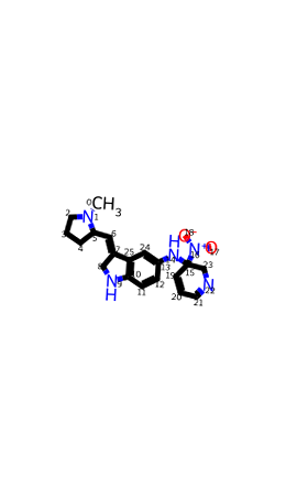 CN1CCCC1C=C1CNc2ccc(NC3([N+](=O)[O-])C=CC=NC3)cc21